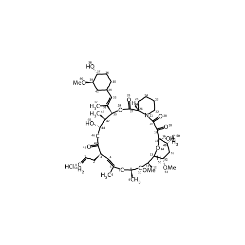 C=CC[C@@H]1/C=C(\C)C[C@H](C)C[C@H](OC)[C@H]2O[C@@](O)(C(=O)C(=O)N3CCCC[C@H]3C(=O)O[C@H](/C(C)=C/C3CC[C@@H](O)[C@H](OC)C3)[C@H](C)[C@@H](O)CC1=O)[C@H](C)C[C@@H]2OC.Cl